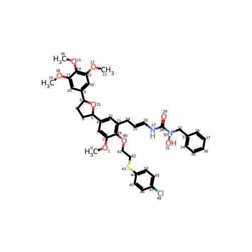 COc1cc(C2CCC(c3cc(OC)c(OC)c(OC)c3)O2)cc(C/C=C/NC(=O)N(O)Cc2ccccc2)c1OCCSc1ccc(Cl)cc1